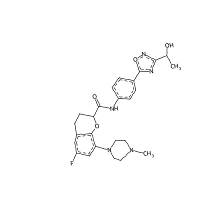 CC(O)c1noc(-c2ccc(NC(=O)C3CCc4cc(F)cc(N5CCN(C)CC5)c4O3)cc2)n1